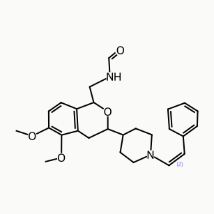 COc1ccc2c(c1OC)CC(C1CCN(/C=C\c3ccccc3)CC1)OC2CNC=O